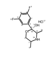 CC1CO[C@@](O)(c2cc(F)cc(F)c2)C(C)N1.Cl